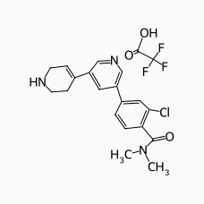 CN(C)C(=O)c1ccc(-c2cncc(C3=CCNCC3)c2)cc1Cl.O=C(O)C(F)(F)F